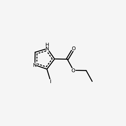 CCOC(=O)c1[nH]cnc1I